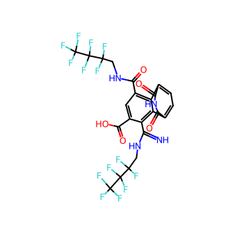 N=C(NCC(F)(F)C(F)(F)C(F)(F)F)c1c(C(=O)O)cc(C(=O)NCC(F)(F)C(F)(F)C(F)(F)F)c2c3ccc(c(=O)[nH]c3=O)c12